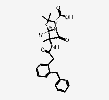 CC1(C)S[C@H]2N(C(=O)C2(C)NC(=O)Cc2ccccc2Cc2ccccc2)[C@H]1C(=O)O